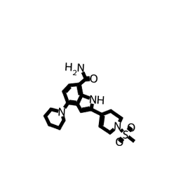 CS(=O)(=O)N1CC=C(c2cc3c(N4CCCCC4)ccc(C(N)=O)c3[nH]2)CC1